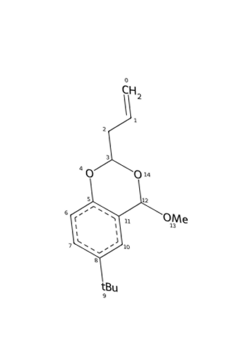 C=CCC1Oc2ccc(C(C)(C)C)cc2C(OC)O1